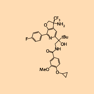 COc1cc(C(=O)NCC(O)(c2cc3c(c(-c4ccc(F)cc4)n2)OC[C@@]3(N)C(F)(F)F)C(C)(C)C)ccc1OC1CC1